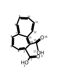 O=C(O)C1=CC=CC2=CC=CC=CC2=C1C(=O)O